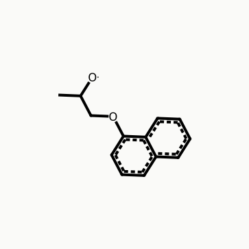 CC([O])COc1cccc2ccccc12